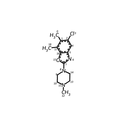 Cc1c(Cl)cc2nc(N3CCN(C)CC3)oc2c1C